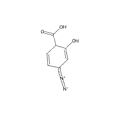 [N-]=[N+]=C1C=CC(C(=O)O)C(O)=C1